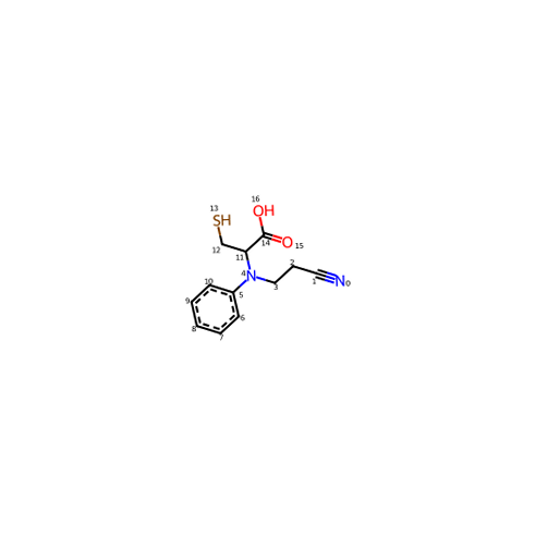 N#CCCN(c1ccccc1)C(CS)C(=O)O